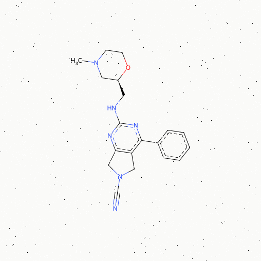 CN1CCO[C@@H](CNc2nc3c(c(-c4ccccc4)n2)CN(C#N)C3)C1